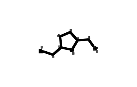 BrCC1CCC(CBr)O1